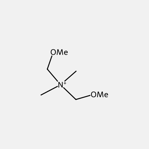 COC[N+](C)(C)COC